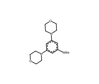 CNc1cc(N2CCOCC2)cc(N2CCOCC2)c1